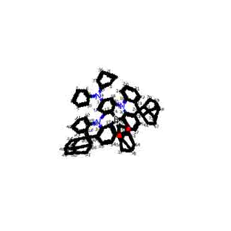 c1ccc(N(c2ccccc2)c2cc3c4c(c2)N2c5ccccc5C5(c6ccc7c(c62)B4c2c(ccc4c2N3c2ccccc2C42C3CC4CC(C3)CC2C4)C72C3CC4CC(C3)CC2C4)C2CC3CC4CC5C2(C3)C4)cc1